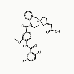 COc1cc(C(=O)N2CC[C@@]3(CCC(=CC(=O)O)C3)Cc3ccccc32)ccc1NC(=O)c1cc(F)ccc1Cl